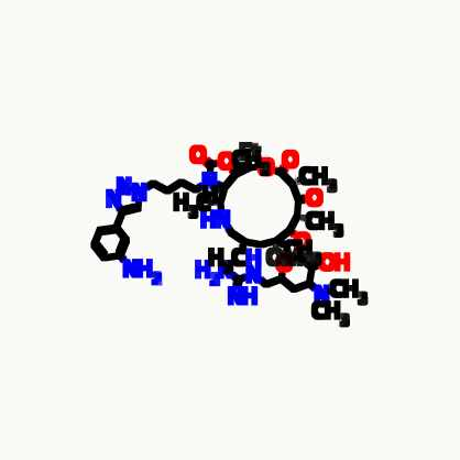 CC[C@H]1OC(=O)[C@H](C)C(=O)[C@H](C)[C@@H](O[C@@H]2OC(CNC(=N)N)CC(N(C)C)C2O)[C@](C)(OC)C[C@@H](C)CN[C@H](C)[C@H]2N(CCCCn3cc(-c4cccc(N)c4)nn3)C(=O)O[C@]12C